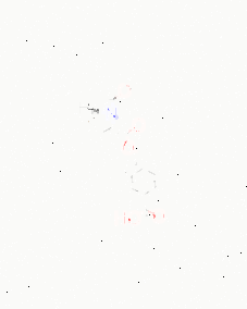 O=C(OCc1ccc(C(=O)O)cc1)C1=CS[C@@H]2CC(=O)N12